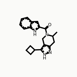 CC1Cc2n[nH]c(C3CCC3)c2CN1C(=O)c1cc2ccccc2[nH]1